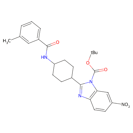 Cc1cccc(C(=O)NC2CCC(c3nc4ccc([N+](=O)[O-])cc4n3C(=O)OC(C)(C)C)CC2)c1